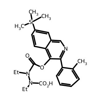 CCN(C(=O)O)N(CC)C(=O)Oc1c(-c2ccccc2C)ncc2cc([Si](C)(C)C)ccc12